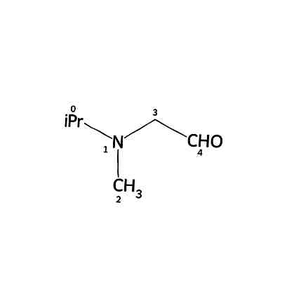 CC(C)N(C)CC=O